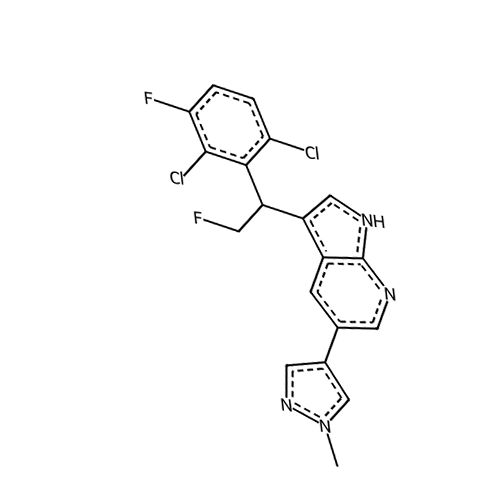 Cn1cc(-c2cnc3[nH]cc(C(CF)c4c(Cl)ccc(F)c4Cl)c3c2)cn1